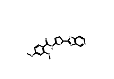 COc1ccc(C(=O)NC2=CCC(c3nc4cnccc4o3)S2)c(OC)c1